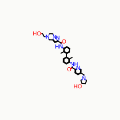 Cc1c(NC(=O)c2ccc(CN3CC[C@@H](O)C3)cn2)cccc1-c1cccc(NC(=O)c2cc3n(n2)CCN(CCO)C3)c1C